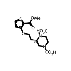 COC(=O)c1sccc1OCC[C@@H]1CN(C(=O)O)CCN1C(=O)O